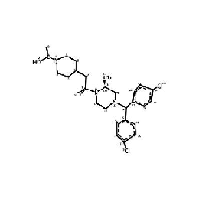 CB(O)N1CCC(CC(=O)N2CCN(C(c3ccc(Cl)cc3)c3ccc(Cl)cc3)C[C@@H]2C(C)(C)C)CC1